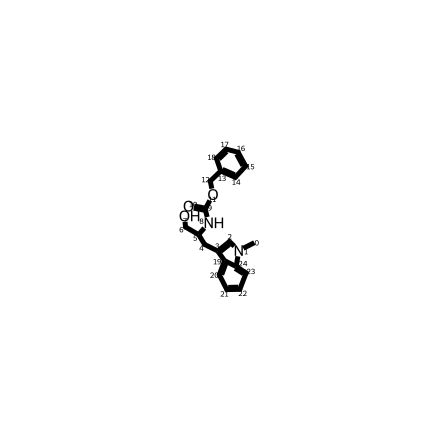 Cn1cc(CC(CO)NC(=O)OCc2ccccc2)c2ccccc21